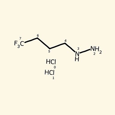 Cl.Cl.NNCCCC(F)(F)F